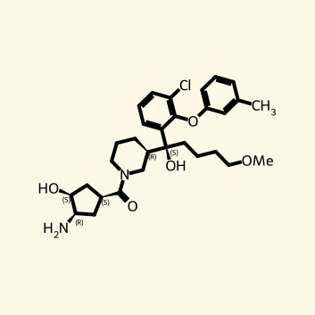 COCCCC[C@@](O)(c1cccc(Cl)c1Oc1cccc(C)c1)[C@@H]1CCCN(C(=O)[C@H]2C[C@@H](N)[C@@H](O)C2)C1